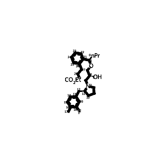 CCC[C@@H](OC[C@H](O)CN1CCC[C@H]1Cc1ccc(C)c(F)c1)c1ccccc1CCC(=O)OCC